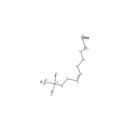 CSOCCC/C=C\CCC(F)(F)C(F)(F)F